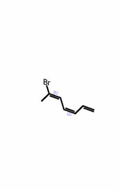 C=C/C=C\C=C(/C)Br